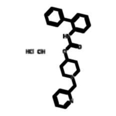 Cl.Cl.O=C(Nc1ccccc1-c1ccccc1)OC1CCN(Cc2ccccn2)CC1